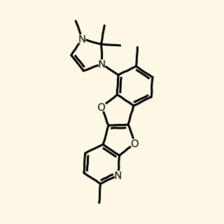 Cc1ccc2c(n1)oc1c3ccc(C)c(N4C=CN(C)C4(C)C)c3oc21